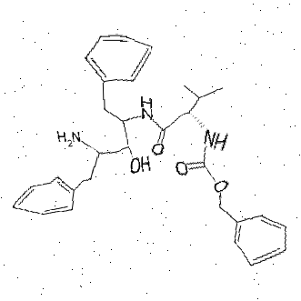 CC(C)[C@H](NC(=O)OCc1ccccc1)C(=O)NC(Cc1ccccc1)C(O)C(N)Cc1ccccc1